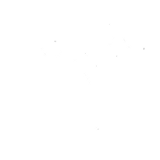 O=S(=O)(c1ccc(Cl)cc1Cl)N(Cc1ccc(O)cc1Cl)c1ccc(OCCN2CCCC2)cc1